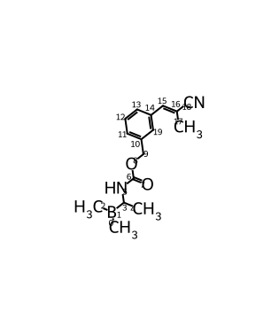 CB(C)C(C)NC(=O)OCc1cccc(C=C(C)C#N)c1